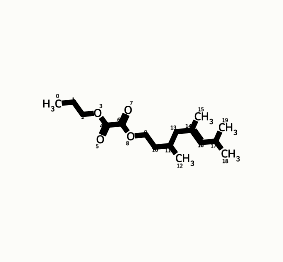 CCCOC(=O)C(=O)OCCC(C)CC(C)=CC(C)C